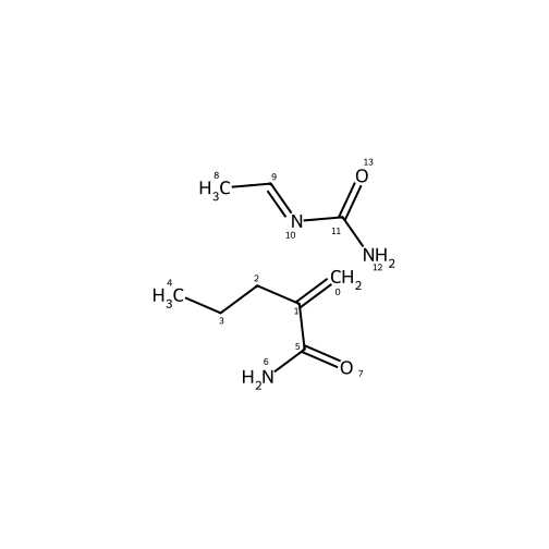 C=C(CCC)C(N)=O.CC=NC(N)=O